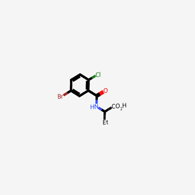 CCC(NC(=O)c1cc(Br)ccc1Cl)C(=O)O